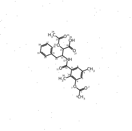 CC(=O)Oc1cc(C)cc(C(=O)NC(Cc2ccccc2)C(OC(C)=O)C(=O)O)c1C